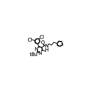 Cc1nc(C(C)(C)C)nc(-c2cc(Cl)cc(Cl)c2)c1C(=O)NCCCc1ccccc1